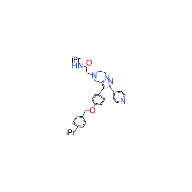 CC(C)NC(=O)CN1CCn2nc(-c3ccncc3)c(-c3ccc(OCc4ccc(C(C)C)cc4)cc3)c2C1